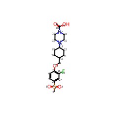 CS(=O)(=O)c1ccc(OCC2CCC(N3CCN(C(=O)O)CC3)CC2)c(F)c1